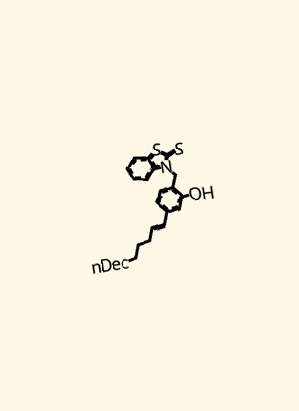 CCCCCCCCCCCCCC=Cc1ccc(Cn2c(=S)sc3ccccc32)c(O)c1